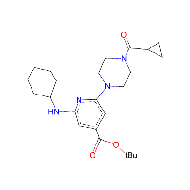 CC(C)(C)OC(=O)c1cc(NC2CCCCC2)nc(N2CCN(C(=O)C3CC3)CC2)c1